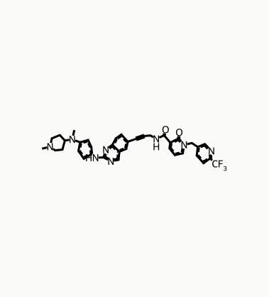 CN1CCC(N(C)c2ccc(Nc3ncc4cc(C#CCNC(=O)c5cccn(Cc6ccc(C(F)(F)F)nc6)c5=O)ccc4n3)cc2)CC1